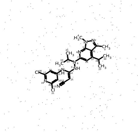 Cc1nn(C)c2nc(N(N/C(=C/C#N)Nc3cc(Cl)nc(Cl)c3)C(C)C)cc(C(C)C)c12